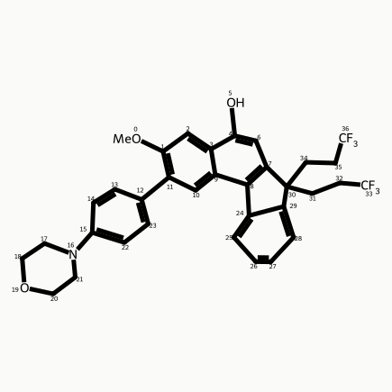 COc1cc2c(O)cc3c(c2cc1-c1ccc(N2CCOCC2)cc1)-c1ccccc1C3(CCC(F)(F)F)CCC(F)(F)F